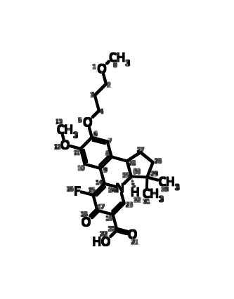 COCCCOc1cc2c(cc1OC)-c1c(F)c(=O)c(C(=O)O)cn1[C@H]1C2CCC1(C)C